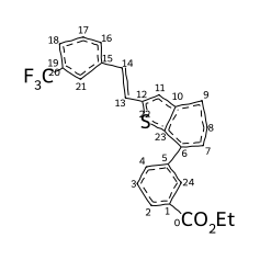 CCOC(=O)c1cccc(-c2cccc3cc(C=Cc4cccc(C(F)(F)F)c4)sc23)c1